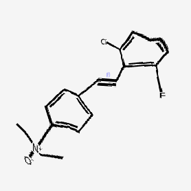 C[N+](C)([O-])c1ccc(/C=C/c2c(F)cccc2Cl)cc1